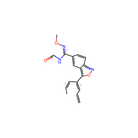 C=C/C=C(\C=C/C)c1onc2ccc(/C(=N/OC)NC=O)cc12